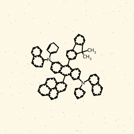 CC1(C)c2ccccc2-c2ccc(-c3c4cc(N(C5=CCCC=C5)c5cccc6ccccc56)ccc4c(-c4ccc5ccc6cccc7ccc4c5c67)c4cc(N(c5ccccc5)c5cccc6ccccc56)ccc34)cc21